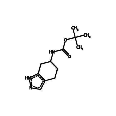 CC(C)(C)OC(=O)NC1CCc2cn[nH]c2C1